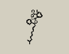 CC(C)CCCCCCCC(OC(=O)c1ccccc1C(=O)O)c1ccccc1